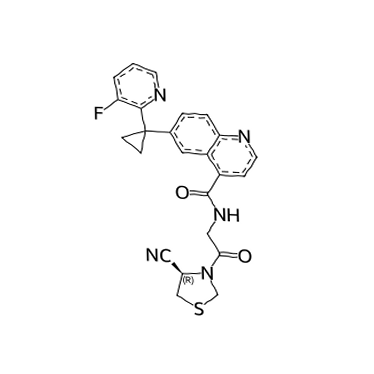 N#C[C@@H]1CSCN1C(=O)CNC(=O)c1ccnc2ccc(C3(c4ncccc4F)CC3)cc12